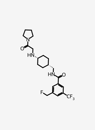 O=C(NC[C@H]1CC[C@@H](NCC(=O)N2CCCC2)CC1)c1cc(CF)cc(C(F)(F)F)c1